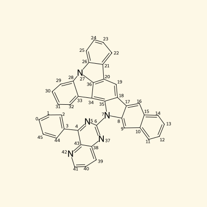 c1ccc(-c2nc(-n3c4cc5ccccc5cc4c4cc5c6ccccc6n6c7ccccc7c(c43)c56)nc3cccnc23)cc1